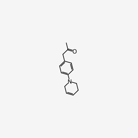 CC(=O)Cc1ccc(N2CC=CCC2)cc1